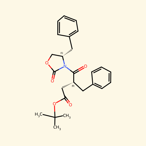 CC(C)(C)OC(=O)C[C@@H](Cc1ccccc1)C(=O)N1C(=O)OC[C@@H]1Cc1ccccc1